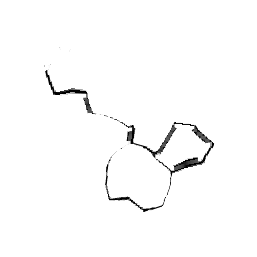 OCC=CC=C1CCCCc2ccccc21